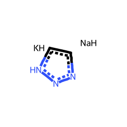 [KH].[NaH].c1c[nH]nn1